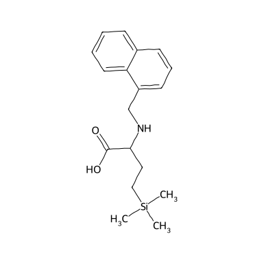 C[Si](C)(C)CCC(NCc1cccc2ccccc12)C(=O)O